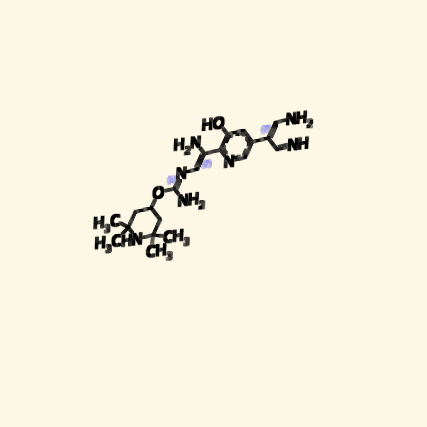 CC1(C)CC(O/C(N)=N/C=C(\N)c2ncc(/C(C=N)=C/N)cc2O)CC(C)(C)N1